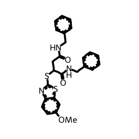 COc1ccc2nc(SC(CC(=O)NCc3ccccc3)C(=O)NCc3ccccc3)sc2c1